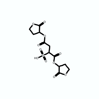 O=C(CC(C(=O)OC1CCOC1=O)S(=O)(=O)O)OC1CCOC1=O